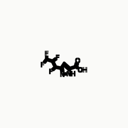 O=C(O)c1cc(C(F)C(F)C(F)F)n[nH]1